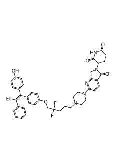 CC/C(=C(\c1ccc(O)cc1)c1ccc(OCC(F)(F)CCCN2CCN(c3ccc4c(n3)CN(C3CCC(=O)NC3=O)C4=O)CC2)cc1)c1ccccc1